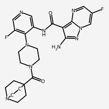 Nc1nn2cc(F)cnc2c1C(=O)Nc1cncc(F)c1N1CCN(C(=O)C23CCN(CC2)CC3)CC1